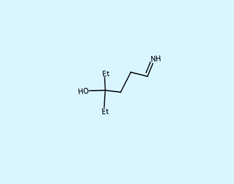 CCC(O)(CC)CCC=N